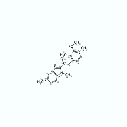 COc1c(C)cnc(C[S+]([O-])c2nc3cc(C)ccc3n2C)c1C